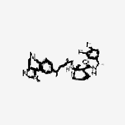 C/C(=C\C=C(/C)c1ccc2ncc3ncn(C)c3c2c1)CNC1(C)N=CC=CC1C(=O)N[C@@H](C)c1ccc(F)c(F)c1